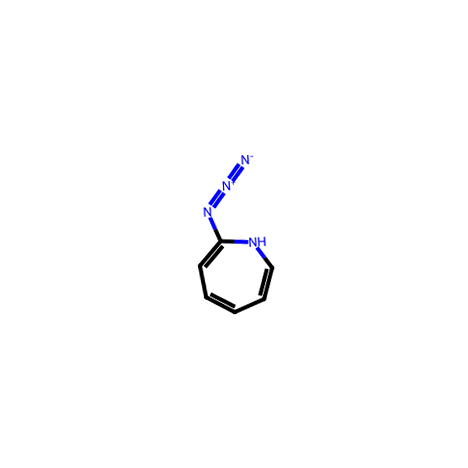 [N-]=[N+]=NC1=CC=CC=CN1